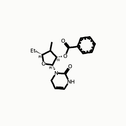 CC[C@H]1O[C@@H](N2CC=CNC2=O)[C@@H](OC(=O)c2ccccc2)C1C